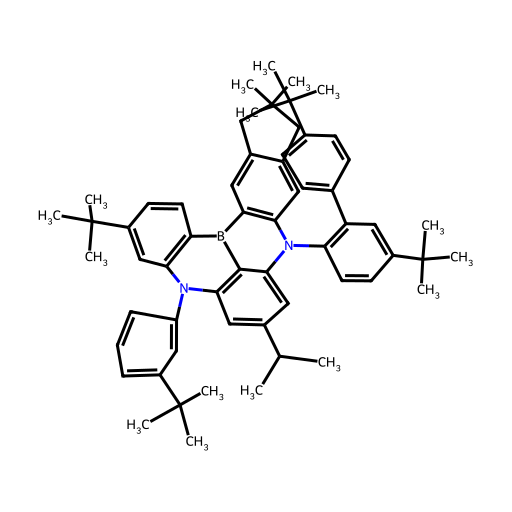 CC(C)c1cc2c3c(c1)N(c1ccc(C(C)(C)C)cc1-c1ccc(C(C)(C)C)cc1)c1cc4c(cc1B3c1ccc(C(C)(C)C)cc1N2c1cccc(C(C)(C)C)c1)CC(C)(C)C4